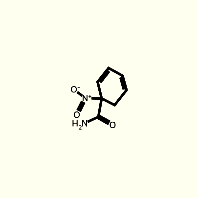 NC(=O)C1([N+](=O)[O-])C=CC=CC1